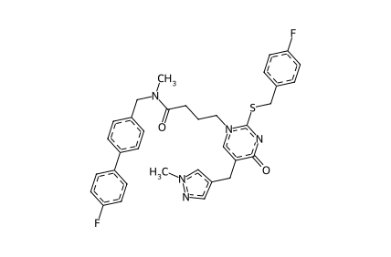 CN(Cc1ccc(-c2ccc(F)cc2)cc1)C(=O)CCCn1cc(Cc2cnn(C)c2)c(=O)nc1SCc1ccc(F)cc1